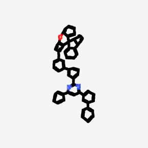 C1=CC2c3ccccc3C3(c4ccccc4Oc4ccc(-c5cccc(-c6cccc(-c7nc(-c8ccccc8)cc(-c8cccc(-c9ccccc9)c8)n7)c6)c5)cc43)C2C=C1